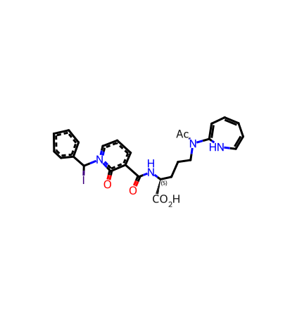 CC(=O)N(CCC[C@H](NC(=O)c1cccn(C(I)c2ccccc2)c1=O)C(=O)O)C1=CC=CC=CN1